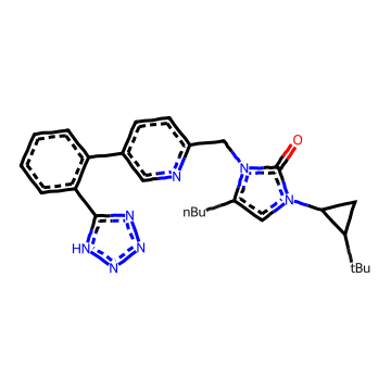 CCCCc1cn(C2CC2C(C)(C)C)c(=O)n1Cc1ccc(-c2ccccc2-c2nnn[nH]2)cn1